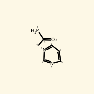 CC(=O)P.c1cncnc1